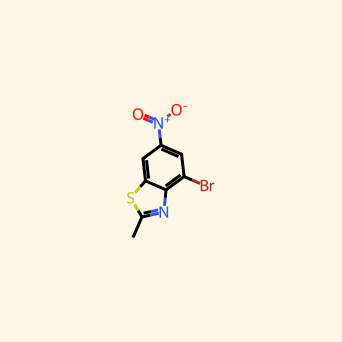 Cc1nc2c(Br)cc([N+](=O)[O-])cc2s1